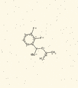 C[SiH](C)OC(c1cc[c]c(F)c1F)C(C)(C)C